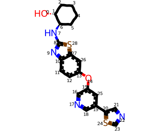 O[C@@H]1CCCC[C@H]1Nc1nc2ccc(Oc3cncc(-c4cncs4)c3)cc2s1